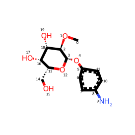 CO[C@H]1[C@H](Oc2ccc(N)cc2)O[C@H](CO)[C@H](O)[C@@H]1O